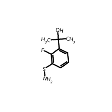 CC(C)(O)c1cccc(SN)c1F